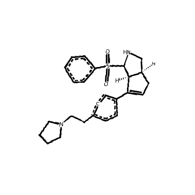 O=S(=O)(c1ccccc1)C1NC[C@H]2CC=C(c3ccc(CCN4CCCC4)cc3)[C@@H]12